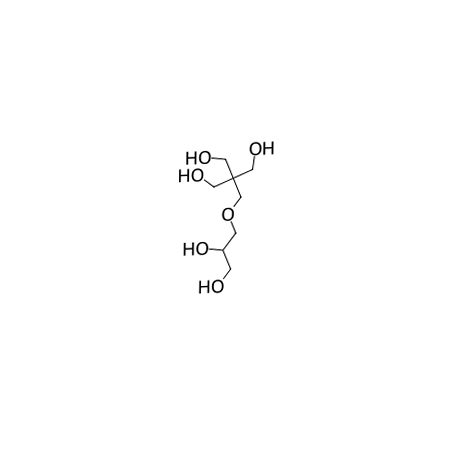 OCC(O)COCC(CO)(CO)CO